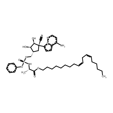 CCCCC/C=C\C/C=C\CCCCCCCCOC(=O)[C@H](C)NP(=O)(OC[C@H]1C[C@@](C#N)(c2ccc3c(N)ccnn23)[C@H](O)[C@@H]1O)Oc1ccccc1